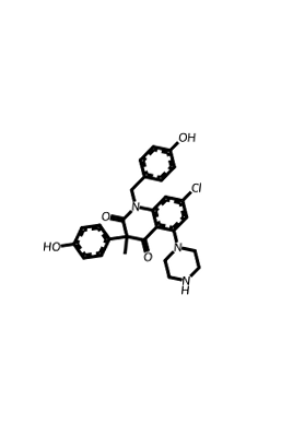 CC1(c2ccc(O)cc2)C(=O)c2c(N3CCNCC3)cc(Cl)cc2N(Cc2ccc(O)cc2)C1=O